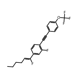 CCCCC=C(F)c1ccc(C#Cc2ccc(OC(F)(F)F)cc2)c(F)c1